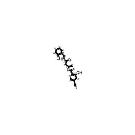 N#Cc1cnc(-c2nc(CC(=O)NCc3ccccc3Cl)cs2)c(O)c1